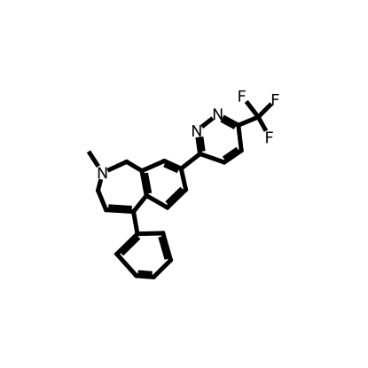 CN1CC=C(c2ccccc2)c2ccc(-c3ccc(C(F)(F)F)nn3)cc2C1